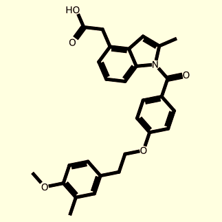 COc1ccc(CCOc2ccc(C(=O)n3c(C)cc4c(CC(=O)O)cccc43)cc2)cc1C